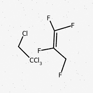 ClCC(Cl)(Cl)Cl.FCC(F)=C(F)F